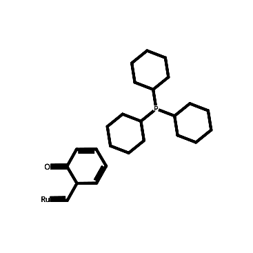 C1CCC(P(C2CCCCC2)C2CCCCC2)CC1.O=C1C=CC=CC1[CH]=[Ru]